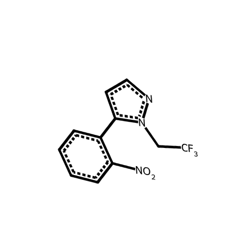 O=[N+]([O-])c1ccccc1-c1ccnn1CC(F)(F)F